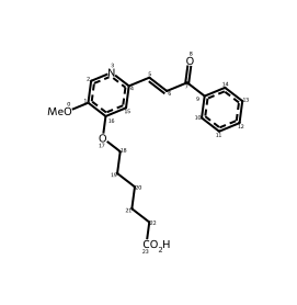 COc1cnc(C=CC(=O)c2ccccc2)cc1OCCCCCC(=O)O